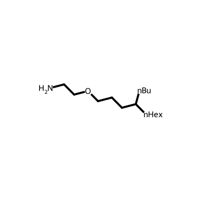 CCCCCCC(CCCC)CCCOCCN